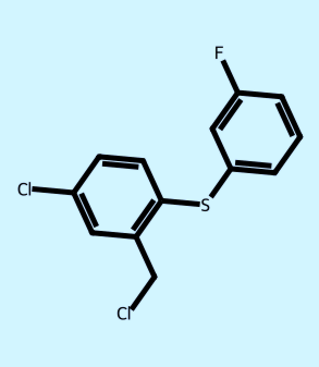 Fc1cccc(Sc2ccc(Cl)cc2CCl)c1